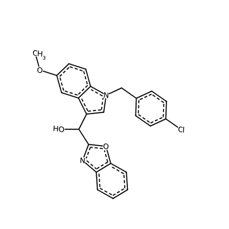 COc1ccc2c(c1)c(C(O)c1nc3ccccc3o1)cn2Cc1ccc(Cl)cc1